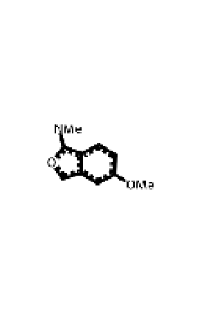 CNc1occ2cc(OC)ccc12